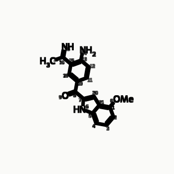 COc1cccc2[nH]c(C(=O)c3ccc(N)c(C(C)=N)c3)cc12